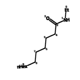 [CH2]CNC(=O)CCCCCCCCCCC